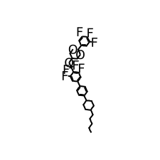 CCCCCC1CCC(c2ccc(-c3cc(F)c(C(F)(F)OC4COC(c5cc(F)c(F)c(F)c5)OC4)c(F)c3)cc2)CC1